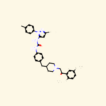 COc1ccc(OC)c(C(=O)CN2CCC(Cc3ccc(NC(=O)Nc4cc(C(C)(C)C)nn4-c4ccc(C)cc4)cc3)CC2)c1